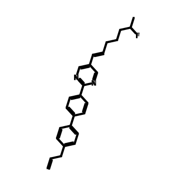 C=CCc1ccc(-c2ccc(-c3ncc(C=CCCCC(C)F)cn3)cc2)cc1